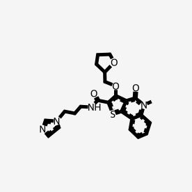 Cn1c(=O)c2c(OCC3CCCO3)c(C(=O)NCCCn3ccnc3)sc2c2ccccc21